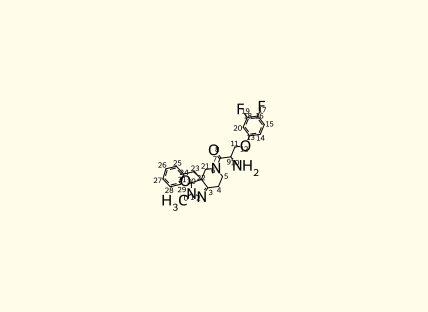 CN1N=C2CCN(C(=O)[C@H](N)COc3ccc(F)c(F)c3)C[C@@]2(Cc2ccccc2)C1=O